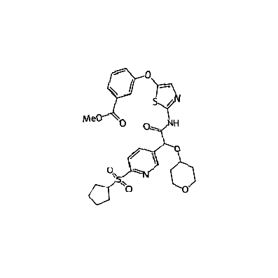 COC(=O)c1cccc(Oc2cnc(NC(=O)C(OC3CCOCC3)c3ccc(S(=O)(=O)C4CCCC4)nc3)s2)c1